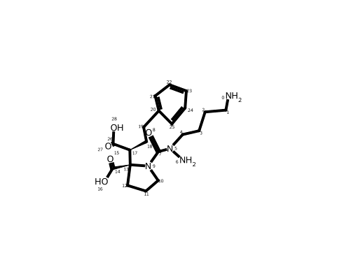 NCCCCN(N)C(=O)N1CCC[C@]1(C(=O)O)[C@H](CCc1ccccc1)C(=O)O